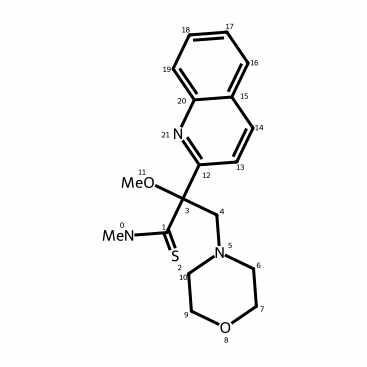 CNC(=S)C(CN1CCOCC1)(OC)c1ccc2ccccc2n1